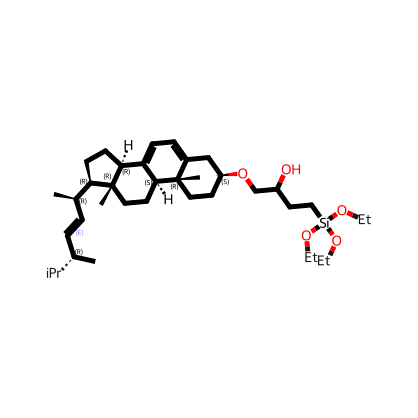 CCO[Si](CCC(O)CO[C@H]1CC[C@@]2(C)C(=CC=C3[C@@H]4CC[C@H]([C@H](C)/C=C/[C@H](C)C(C)C)[C@@]4(C)CC[C@@H]32)C1)(OCC)OCC